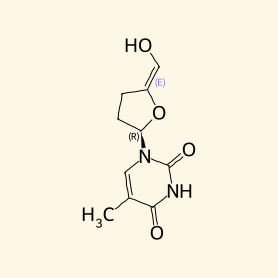 Cc1cn([C@H]2CC/C(=C\O)O2)c(=O)[nH]c1=O